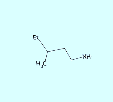 CCC(C)CC[NH]